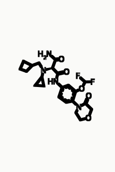 NC(=O)[C@@H](C(=O)Nc1ccc(N2CCOCC2=O)c(OC(F)F)c1)N(CC1CCC1)C1CC1